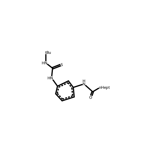 CCCCCCCC(=O)Nc1cccc(NC(=S)NC(C)(C)C)c1